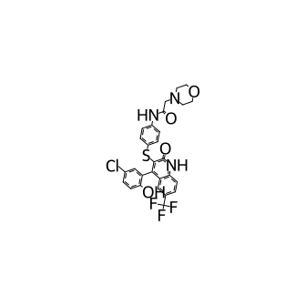 O=C(CN1CCOCC1)Nc1ccc(Sc2c(-c3cc(Cl)ccc3O)c3cc(C(F)(F)F)ccc3[nH]c2=O)cc1